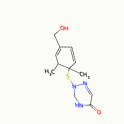 CC1C=C(CO)C=CC1(C)SN1CNC(=O)C=N1